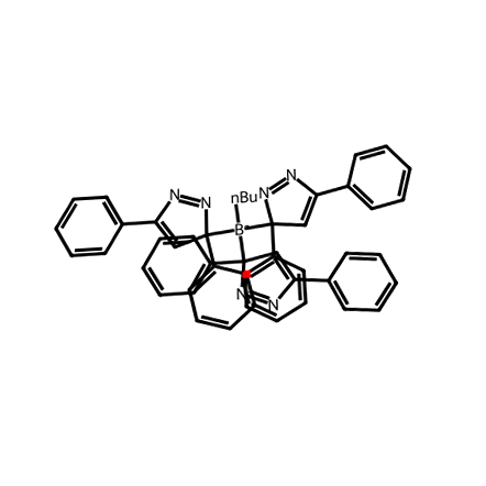 CCCC[B-](C1(c2ccccc2)C=C(c2ccccc2)N=N1)(C1(c2ccccc2)C=C(c2ccccc2)N=N1)C1(c2ccccc2)C=C(c2ccccc2)N=N1